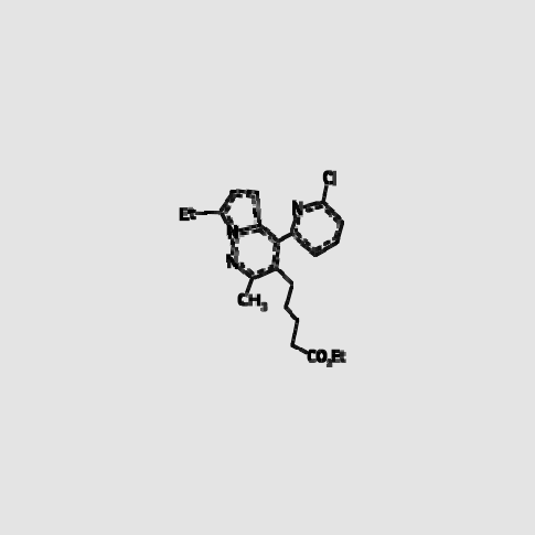 CCOC(=O)CCCCc1c(C)nn2c(CC)ccc2c1-c1cccc(Cl)n1